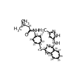 Cc1cc(Nc2nc(Sc3ccc(NC(=O)CN(C)C)cc3)nc3ccccc23)[nH]n1